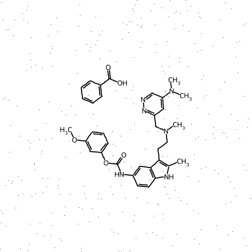 COc1cccc(OC(=O)Nc2ccc3[nH]c(C)c(CCN(C)Cc4cc(N(C)C)cnn4)c3c2)c1.O=C(O)c1ccccc1